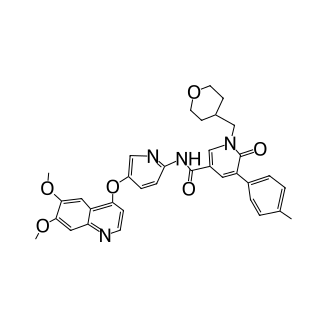 COc1cc2nccc(Oc3ccc(NC(=O)c4cc(-c5ccc(C)cc5)c(=O)n(CC5CCOCC5)c4)nc3)c2cc1OC